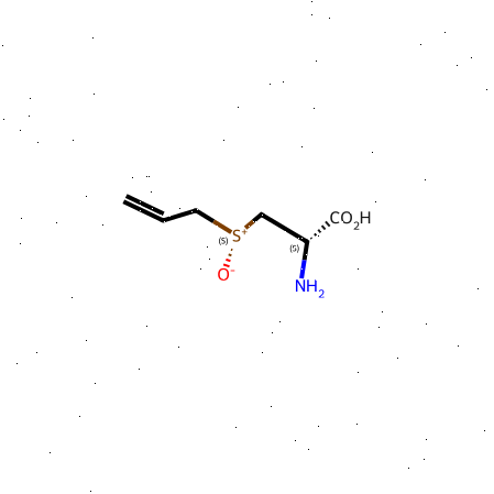 C=CC[S@@+]([O-])C[C@@H](N)C(=O)O